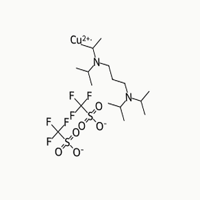 CC(C)N(CCCN(C(C)C)C(C)C)C(C)C.O=S(=O)([O-])C(F)(F)F.O=S(=O)([O-])C(F)(F)F.[Cu+2]